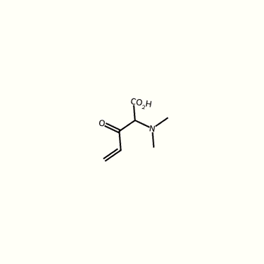 C=CC(=O)C(C(=O)O)N(C)C